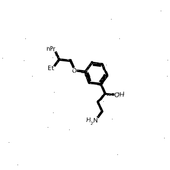 CCCC(CC)COc1cccc(C(O)CCN)c1